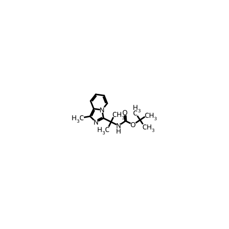 Cc1nc(C(C)(C)NC(=O)OC(C)(C)C)n2ccccc12